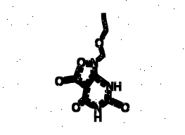 CCOCn1oc(=O)c2c(=O)[nH]c(=O)[nH]c21